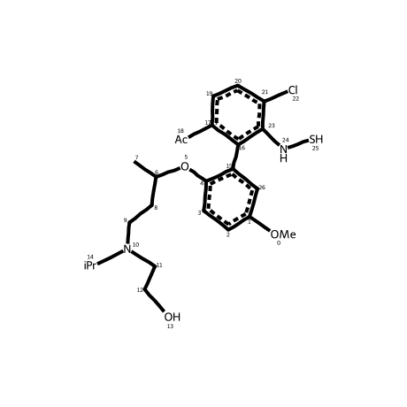 COc1ccc(OC(C)CCN(CCO)C(C)C)c(-c2c(C(C)=O)ccc(Cl)c2NS)c1